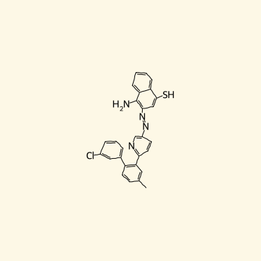 Cc1ccc(-c2cccc(Cl)c2)c(-c2ccc(/N=N/c3cc(S)c4ccccc4c3N)cn2)c1